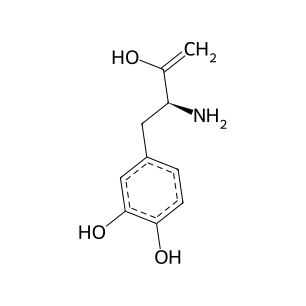 C=C(O)[C@@H](N)Cc1ccc(O)c(O)c1